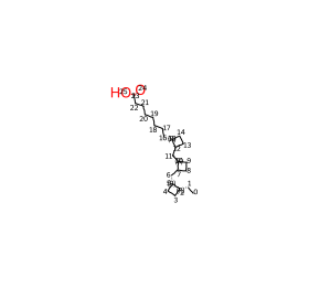 CC[C@@H]1CC[C@@H]1CC1CC[C@@H]1CC1CC[C@H]1CCCCCCCC(=O)O